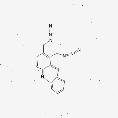 [N-]=[N+]=NCc1ccc2nc3ccccc3cc2c1CN=[N+]=[N-]